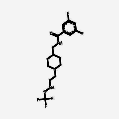 O=C(NCC1CCN(CCNSC(F)(F)F)CC1)c1cc(F)cc(F)c1